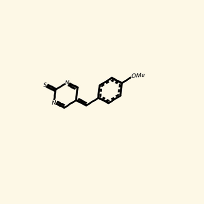 COc1ccc(C=C2C=NC(=S)N=C2)cc1